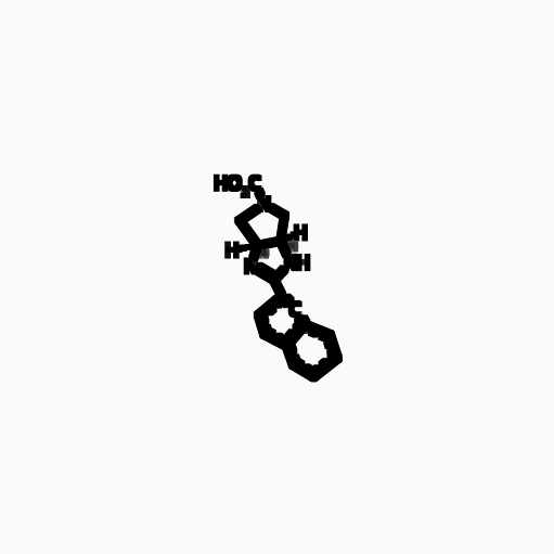 O=C(O)N1C[C@@H]2N=C(c3ccc4ccccc4c3)N[C@@H]2C1